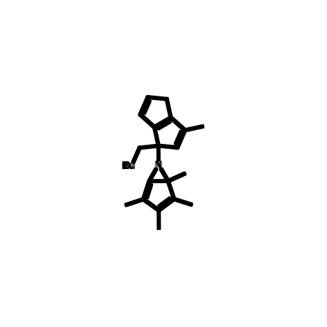 CCC(C)CC1(N2C3=C(C)C(C)=C(C)C32C)C=C(C)C2=C1C=CC2